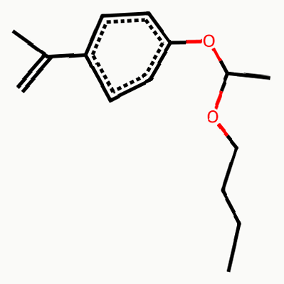 C=C(C)c1ccc(OC(C)OCCCC)cc1